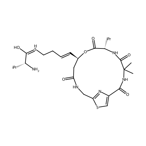 CC(C)[C@@H]1NC(=O)C(C)(C)NC(=O)c2csc(n2)CNC(=O)C[C@@H](/C=C/CC/[SH]=C(/O)[C@H](N)C(C)C)OC1=O